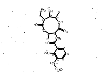 CCC(C)CC1C(=O)OC(C)C(NC(=O)c2cccc(NC=O)c2O)C(=O)OC(C)C1O